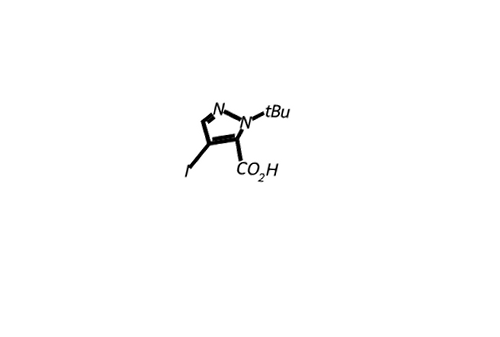 CC(C)(C)n1ncc(I)c1C(=O)O